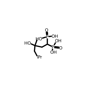 CC(C)CC(C)(O)CC(P(=O)(O)O)P(=O)(O)O